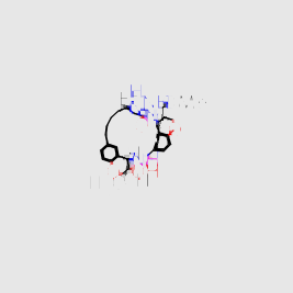 CC[C@]12CCCCc3ccc4c(c3)[C@@H](NC(=O)c3ccc5c(c3)[C@@H]([C@@H](COC)CO5)N(C(=N)N1)C(=O)C2)[C@H](O)C(C)(C)O4